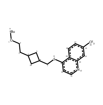 CC(C)(C)OCCC1CC(CSc2ccnc3cc(C(F)(F)F)ccc23)C1